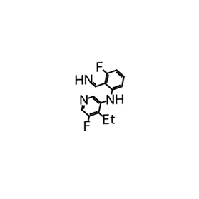 CCc1c(F)cncc1Nc1cccc(F)c1C=N